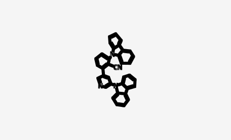 N#Cc1c(-c2cncc(-n3c4ccccc4c4ccccc43)c2)cccc1-n1c2ccccc2c2ccccc21